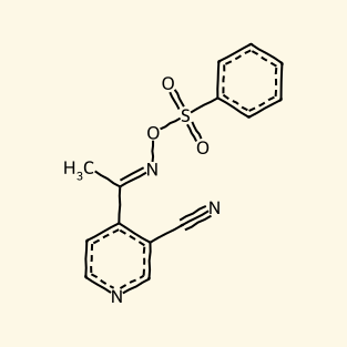 C/C(=N\OS(=O)(=O)c1ccccc1)c1ccncc1C#N